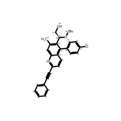 Cc1cc2nc(C#Cc3ccccc3)ccc2c(-c2ccc(Cl)cc2)c1[C@@H](CO)OC(C)(C)C